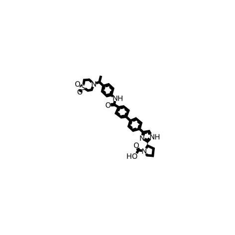 CC(c1ccc(NC(=O)c2ccc(-c3ccc(-c4c[nH]c([C@@H]5CCCN5C(=O)O)n4)cc3)cc2)cc1)N1CCS(=O)(=O)CC1